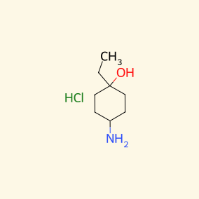 CCC1(O)CCC(N)CC1.Cl